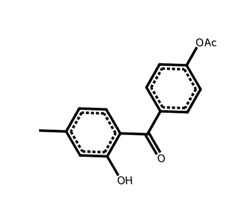 CC(=O)Oc1ccc(C(=O)c2ccc(C)cc2O)cc1